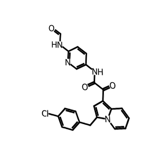 O=CNc1ccc(NC(=O)C(=O)c2cc(Cc3ccc(Cl)cc3)n3ccccc23)cn1